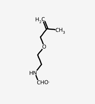 C=C(C)COCCN[C]=O